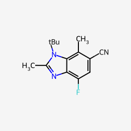 Cc1c(C#N)cc(F)c2nc(C)n(C(C)(C)C)c12